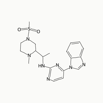 CC(Nc1nccc(-n2cnc3ccccc32)n1)C1CN(S(C)(=O)=O)CCN1C